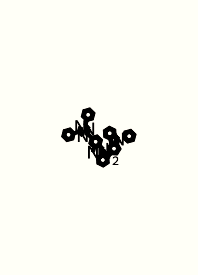 Nc1cc(-c2nc(-c3ccccc3)nc(-c3ccccc3)n2)ccc1-n1c2ccccc2c2ccc3c(c4ccccc4n3-c3ccccc3)c21